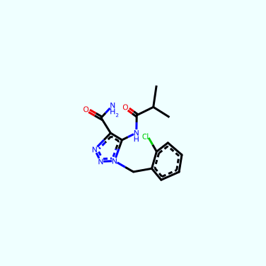 CC(C)C(=O)Nc1c(C(N)=O)nnn1Cc1ccccc1Cl